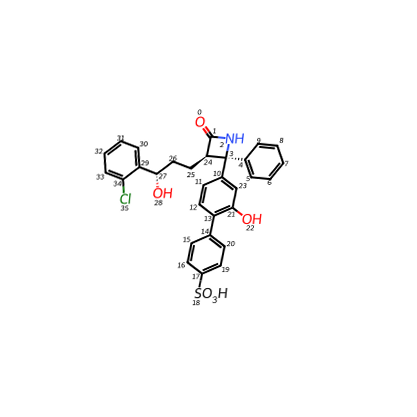 O=C1N[C@@](c2ccccc2)(c2ccc(-c3ccc(S(=O)(=O)O)cc3)c(O)c2)[C@H]1CC[C@H](O)c1ccccc1Cl